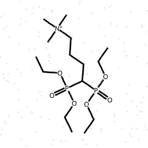 CCOP(=O)(OCC)C(CCC[N+](C)(C)C)P(=O)(OCC)OCC